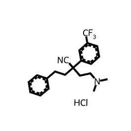 CN(C)CCC(C#N)(CCc1ccccc1)c1cccc(C(F)(F)F)c1.Cl